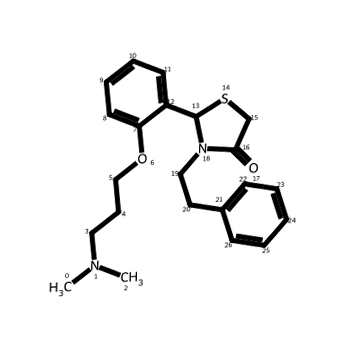 CN(C)CCCOc1ccccc1C1SCC(=O)N1CCc1ccccc1